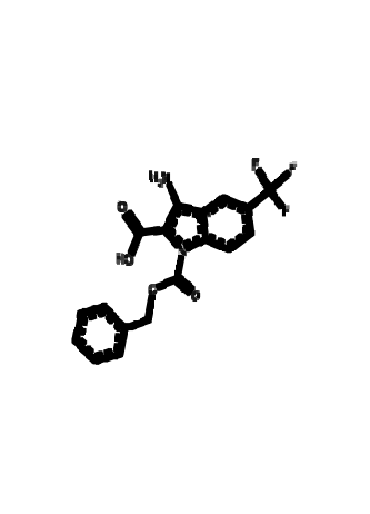 Nc1c(C(=O)O)n(C(=O)OCc2ccccc2)c2ccc(C(F)(F)F)cc12